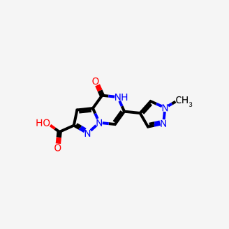 Cn1cc(-c2cn3nc(C(=O)O)cc3c(=O)[nH]2)cn1